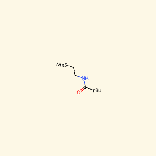 CCCCC(=O)NCCSC